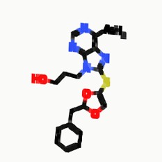 OCCCn1c(SC2=COC(Cc3ccccc3)O2)nc2c([AsH2])ncnc21